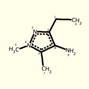 CCc1nn(C)c(C)c1N